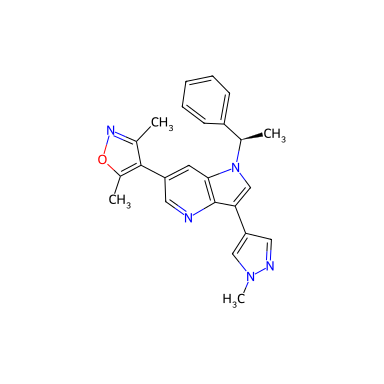 Cc1noc(C)c1-c1cnc2c(-c3cnn(C)c3)cn([C@H](C)c3ccccc3)c2c1